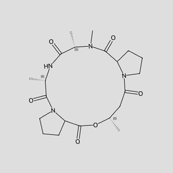 C[C@@H]1NC(=O)[C@H](C)N(C)C(=O)C2CCCN2C(=O)C[C@H](C)OC(=O)C2CCCN2C1=O